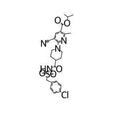 Cc1nc(N2CCC(C(=O)NS(=O)(=O)Cc3ccc(Cl)cc3)CC2)c(C#N)cc1C(=O)OC(C)C